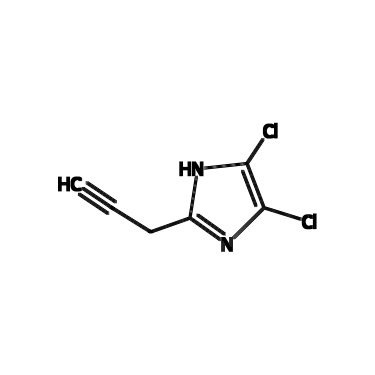 C#CCc1nc(Cl)c(Cl)[nH]1